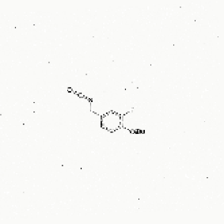 CC(C)COc1ccc(CN=C=O)cc1F